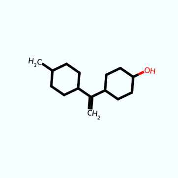 C=C(C1CCC(C)CC1)C1CCC(O)CC1